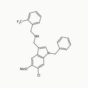 COc1cc2c(CNCc3ccccc3C(F)(F)F)cn(Cc3ccccc3)c2cc1Cl